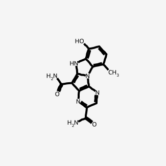 Cc1ccc(O)c2[nH]c3c(C(N)=O)c4nc(C(N)=O)cnc4n3c12